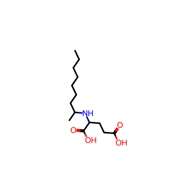 CCCCCCCC(C)NC(CCC(=O)O)C(=O)O